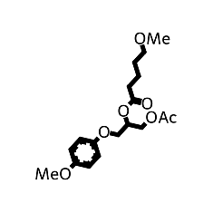 COCCCCC(=O)OC(COC(C)=O)COc1ccc(OC)cc1